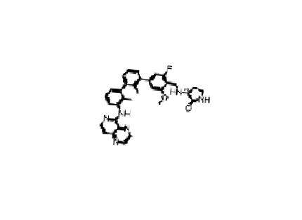 COc1cc(-c2cccc(-c3cccc(Nc4nccc5nccnc45)c3C)c2C)cc(F)c1CN[C@H]1CCNC1=O